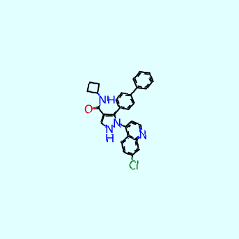 O=C(NC1CCC1)C1=C(c2ccc(-c3ccccc3)cc2)N(c2ccnc3cc(Cl)ccc23)NC1